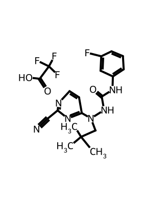 CC(C)(C)CN(NC(=O)Nc1cccc(F)c1)c1ccnc(C#N)n1.O=C(O)C(F)(F)F